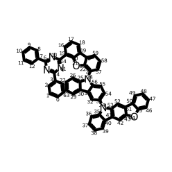 c1ccc(-c2nc(-c3ccccc3)nc(-c3cccc4c3oc3c(-n5c6ccccc6c6cc(-n7c8ccccc8c8cc9oc%10ccccc%10c9cc87)ccc65)cccc34)n2)cc1